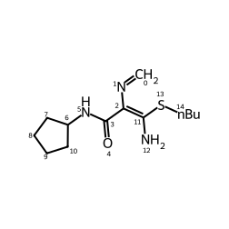 C=N/C(C(=O)NC1CCCC1)=C(/N)SCCCC